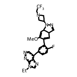 CCn1cnc2c(-c3ccc(F)c(C4=CC5C=NN(C6CN(CC(F)(F)F)C6)C5C=C4OC)c3)cnnc21